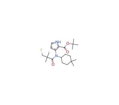 CC1(C)CCC(N(C(=O)C(C)(C)CF)c2cc[nH]c2C(=O)OC(C)(C)C)CC1